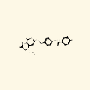 Cc1nc(NCc2ccc(NC(=O)c3ccc(F)cc3)cc2)cc2c1N(C)C(=O)CN2C